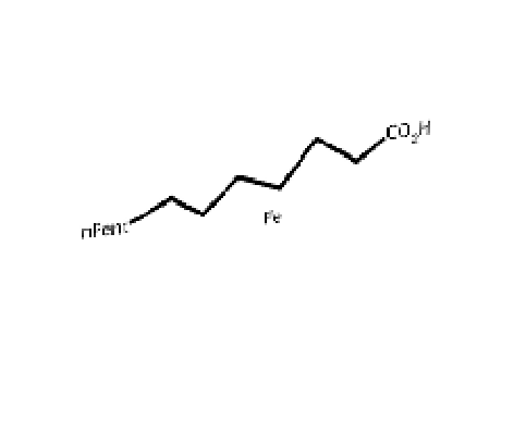 CCCCCCCCCCCC(=O)O.[Fe]